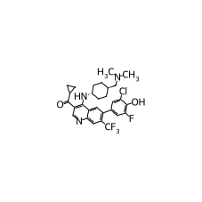 CN(C)C[C@H]1CC[C@H](Nc2c(C(=O)C3CC3)cnc3cc(C(F)(F)F)c(-c4cc(F)c(O)c(Cl)c4)cc23)CC1